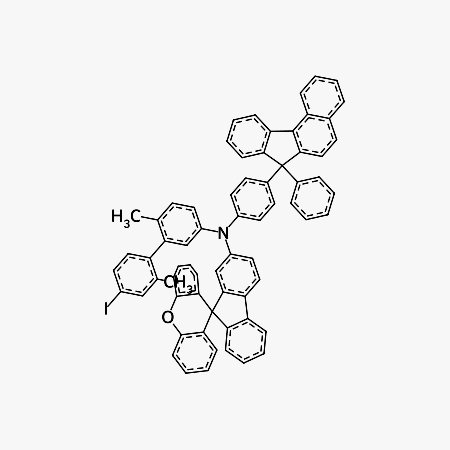 Cc1cc(I)ccc1-c1cc(N(c2ccc(C3(c4ccccc4)c4ccccc4-c4c3ccc3ccccc43)cc2)c2ccc3c(c2)C2(c4ccccc4Oc4ccccc42)c2ccccc2-3)ccc1C